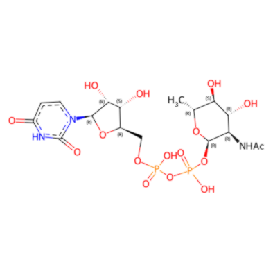 CC(=O)N[C@H]1[C@@H](OP(=O)(O)OP(=O)(O)OC[C@H]2O[C@@H](n3ccc(=O)[nH]c3=O)[C@H](O)[C@@H]2O)O[C@H](C)[C@@H](O)[C@@H]1O